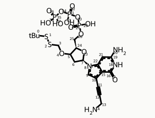 CC(C)(C)SSCOC1C[C@H](n2cc(C#CCN)c3c(=O)[nH]c(N)cc32)O[C@@H]1COP(=O)(O)OP(=O)(O)OP(=O)(O)O